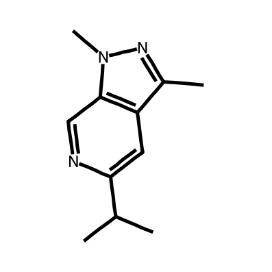 Cc1nn(C)c2cnc(C(C)C)cc12